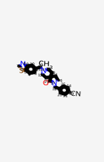 CC(c1ccc2scnc2c1)N1CCC2(CCN(Cc3ccc(C#N)cc3)C2=O)CC1